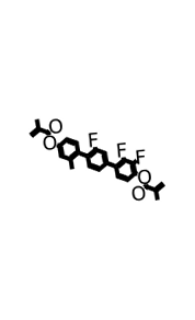 C=C(C)C(=O)Oc1ccc(-c2ccc(-c3ccc(OC(=O)C(=C)C)c(F)c3F)cc2F)c(C)c1